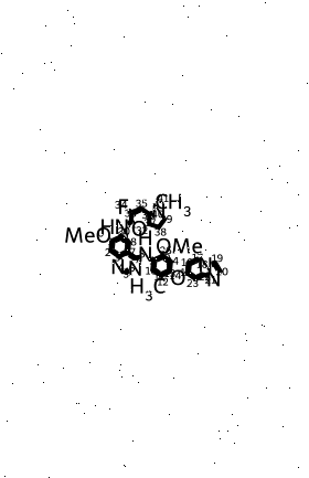 COc1cc2ncnc(Nc3cc(C)c(Oc4ccn5ccnc5c4)cc3OC)c2cc1NC(=O)/C(F)=C\C1CCCN1C